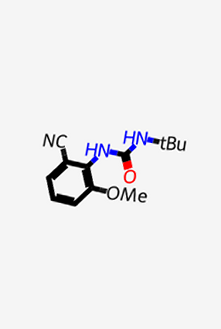 COc1cccc(C#N)c1NC(=O)NC(C)(C)C